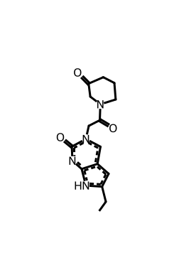 CCc1cc2cn(CC(=O)N3CCCC(=O)C3)c(=O)nc2[nH]1